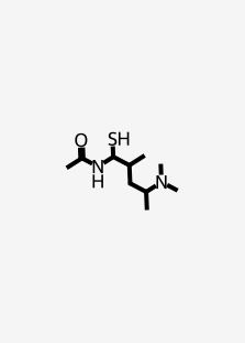 CC(=O)NC(S)C(C)CC(C)N(C)C